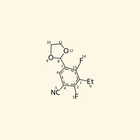 CCc1c(F)c(C#N)cc(C2OCCO2)c1F